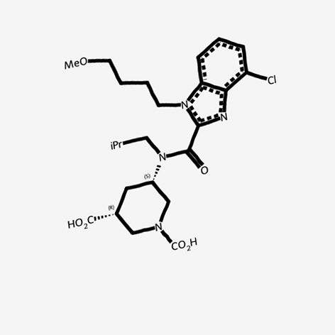 COCCCCn1c(C(=O)N(CC(C)C)[C@H]2C[C@@H](C(=O)O)CN(C(=O)O)C2)nc2c(Cl)cccc21